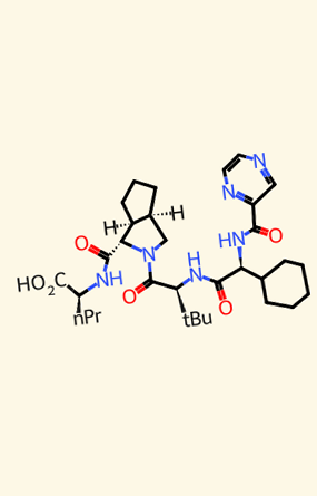 CCC[C@H](NC(=O)[C@@H]1[C@H]2CCC[C@H]2CN1C(=O)[C@@H](NC(=O)[C@@H](NC(=O)c1cnccn1)C1CCCCC1)C(C)(C)C)C(=O)O